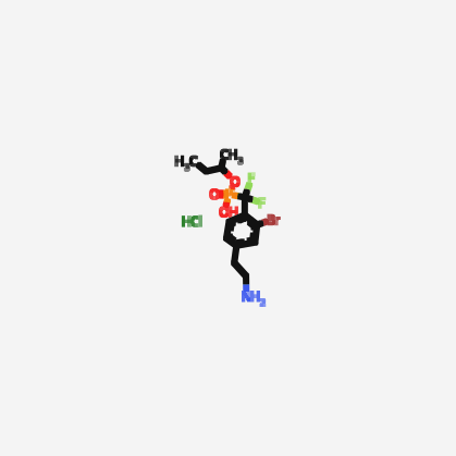 CCC(C)OP(=O)(O)C(F)(F)c1ccc(CCN)cc1Br.Cl